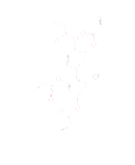 C=CC(=O)Oc1cc(OC(=O)C=C)c(-c2ccc(OC(=O)C=C)c(OC(=O)C=C)c2)c(C(F)(F)F)c1